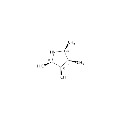 C[C@@H]1[C@H](C)[C@H](C)N[C@@H]1C